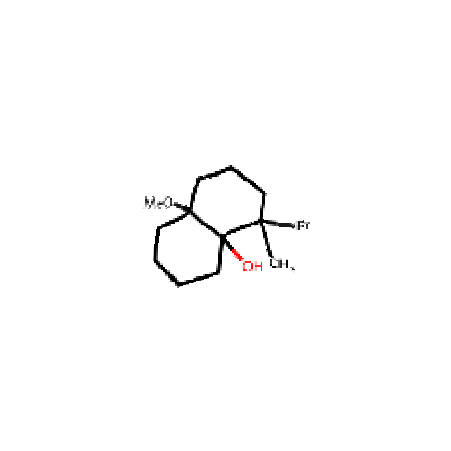 COC12CCCCC1(O)C(C)(C(C)C)CCC2